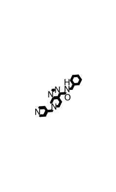 O=C(NCC1CCCCC1)c1ncnc2c1CCN(Cc1ccncc1)C2